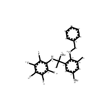 CCCCC(C)(Pc1c(F)c(F)c(F)c(F)c1F)c1cc(C(C)(C)C)cc(C)c1OCc1ccccc1